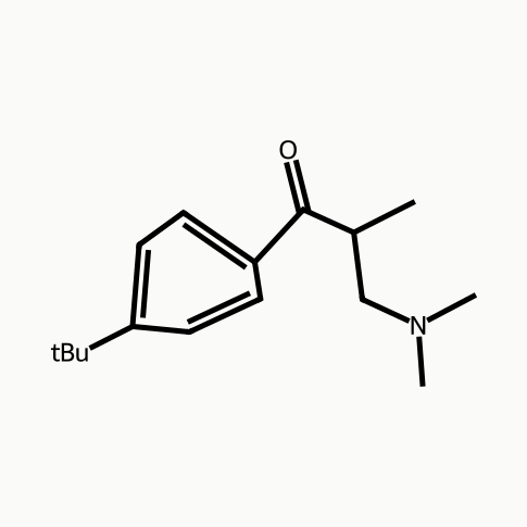 CC(CN(C)C)C(=O)c1ccc(C(C)(C)C)cc1